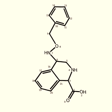 O=C(O)C1NCC(NOCc2ccccc2)c2ccccc21